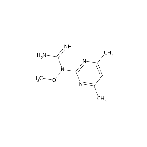 CON(C(=N)N)c1nc(C)cc(C)n1